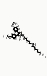 CCCCCCCNCCCCCSc1nc(-c2ccc(OC)cc2)c(-c2ccc(OC)cc2)[nH]1